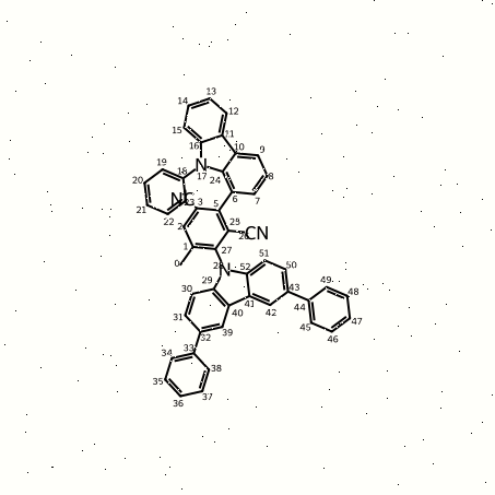 Cc1cc(C#N)c(-c2cccc3c4ccccc4n(-c4ccccc4)c23)c(C#N)c1-n1c2ccc(-c3ccccc3)cc2c2cc(-c3ccccc3)ccc21